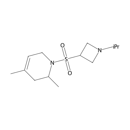 CC1=CCN(S(=O)(=O)C2CN(C(C)C)C2)C(C)C1